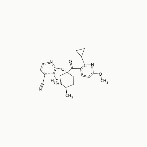 COc1ccc(C(=O)[C@@]2(Oc3nccc(C#N)c3C)CC[C@@H](C)NC2)c(C2CC2)n1